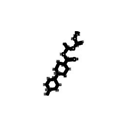 C=C(OCC)OC(C)OC(=O)C1CCN(C2CCN(C)CC2)CC1